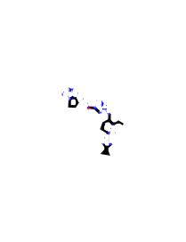 CCc1nc(N2CC3(CC3)C2)ccc1Cn1cc(C(=O)N[C@@H]2CCc3c2ncn3C)nn1